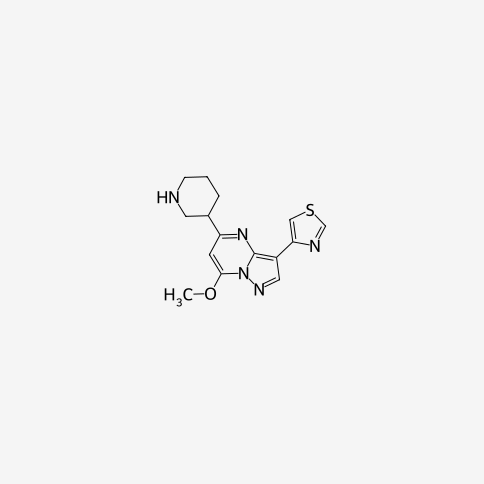 COc1cc(C2CCCNC2)nc2c(-c3cscn3)cnn12